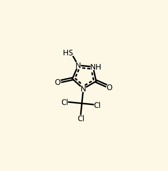 O=c1[nH]n(S)c(=O)n1C(Cl)(Cl)Cl